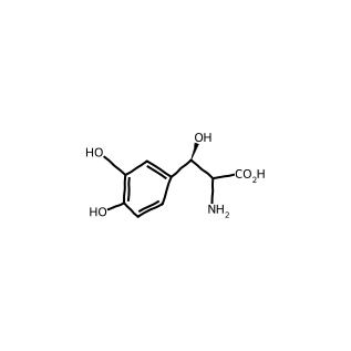 NC(C(=O)O)[C@H](O)c1ccc(O)c(O)c1